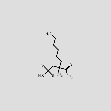 CCCCCCC(C)(CC(C)(Br)Br)C(C)=O